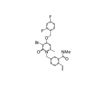 C=Cc1ccc(Cn2c(C)cc(OCc3ccc(F)cc3F)c(Br)c2=O)cc1C(=O)NC